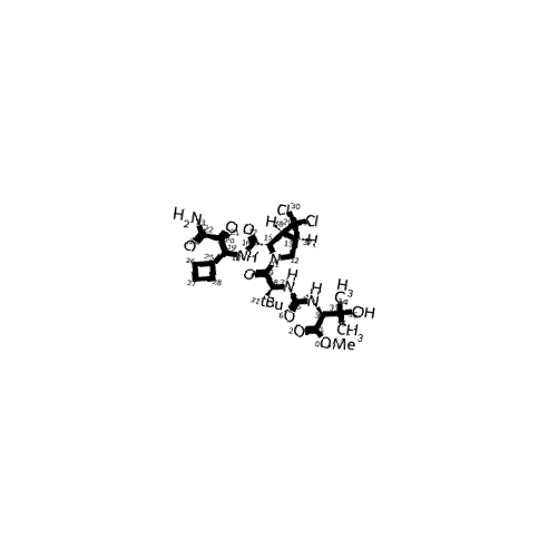 COC(=O)[C@@H](NC(=O)N[C@H](C(=O)N1C[C@H]2[C@@H]([C@H]1C(=O)NC(C(=O)C(N)=O)C1CCC1)C2(Cl)Cl)C(C)(C)C)C(C)(C)O